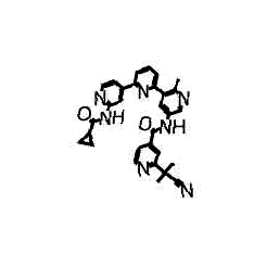 Cc1ncc(NC(=O)c2ccnc(C(C)(C)C#N)c2)cc1-c1cccc(-c2ccnc(NC(=O)C3CC3)c2)n1